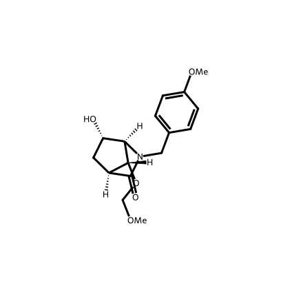 COCO[C@H]1[C@H]2[C@@H](O)C[C@@H]1C(=O)N2Cc1ccc(OC)cc1